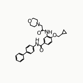 O=C(CN1CCOCC1)Nc1cc(C(=O)Nc2ccc(-c3ccccc3)cc2)ccc1OCC1CC1